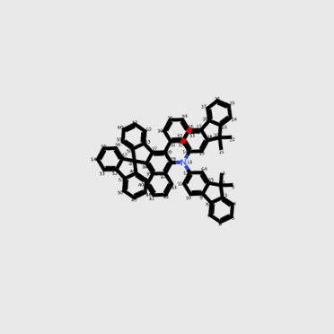 CC1(C)c2ccccc2-c2ccc(N(c3ccc4c(c3)C(C)(C)c3ccccc3-4)c3c(-c4ccccc4)c4c(c5ccccc35)C3(c5ccccc5-c5ccccc53)c3ccccc3-4)cc21